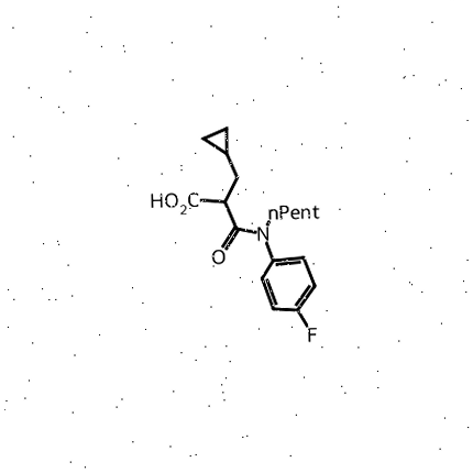 CCCCCN(C(=O)C(CC1CC1)C(=O)O)c1ccc(F)cc1